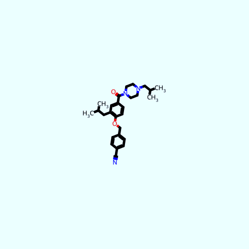 CC(C)Cc1cc(C(=O)N2CCN(CC(C)C)CC2)ccc1OCc1ccc(C#N)cc1